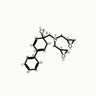 FC(F)(F)C1(CN(CC2CO2)CC2CO2)C=CC(c2ccccc2)=CC1